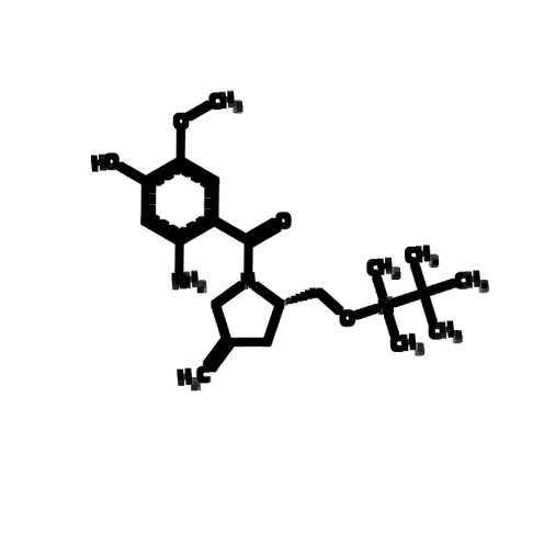 C=C1C[C@@H](CO[Si](C)(C)C(C)(C)C)N(C(=O)c2cc(OC)c(O)cc2N)C1